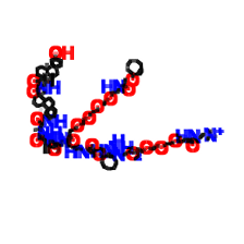 CC(C)[C@H](NC(=O)[C@@H](CCCCNC(=O)COC1CCCCC/C(NCCOCCOCCOCCOCCC(=O)NCC[N+](C)(C)C)=C\1NN)NC(=O)CCOCCOCCOCCOCCNC(=O)COC1C#CCCCCC1)C(=O)N[C@@H](C)C(=O)Nc1ccc2c(c1)[C@@]1(C)CCC[C@](C)(C(=O)NC(=O)[C@@]3(C)CCC[C@]4(C)c5cc(O)ccc5CC[C@@H]34)C1CC2